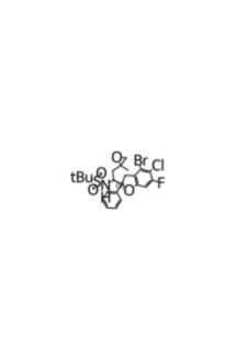 CC1(CC(NS(=O)(=O)C(C)(C)C)[C@@]2(c3ccccc3)Cc3c(cc(F)c(Cl)c3Br)O2)CO1